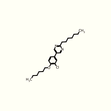 CCCCCCCc1ncc(-c2ccc(OCCCCCC)c(Cl)c2)cn1